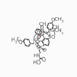 COc1ccc(CN(Cc2ccc(OC)cc2)S(=O)(=O)c2c(S(=O)(=O)CCNC(=O)O)ccc(B3OCC(C)(C)CO3)c2-c2nnnn2Cc2ccc(OC)cc2)cc1